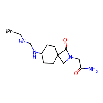 CC(C)CNCNC1CCC2(CC1)CN(CC(N)=O)C2=O